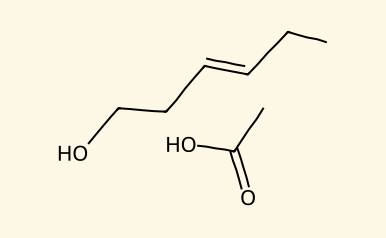 CC(=O)O.CC/C=C/CCO